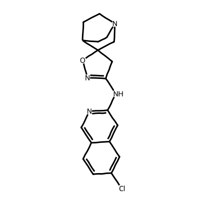 Clc1ccc2cnc(NC3=NOC4(C3)CN3CCC4CC3)cc2c1